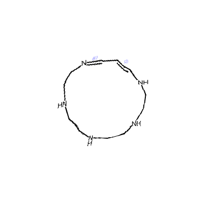 C1=C\NCCNCCNCCNCC/N=C/1